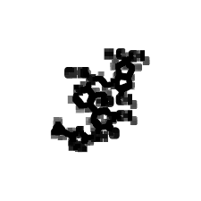 Cc1cc2c(n1CCN(C=O)c1nccc(-c3cc(Nc4nnc(C5CC5)s4)c(=O)n(C)c3)c1CO)CC(C)(C)C2